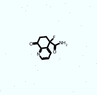 NC(=O)C1(F)CCC(=O)c2ncccc21